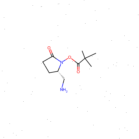 CC(C)(C)C(=O)ON1C(=O)CC[C@H]1CN